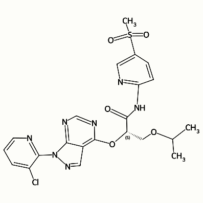 CC(C)OC[C@H](Oc1ncnc2c1cnn2-c1ncccc1Cl)C(=O)Nc1ccc(S(C)(=O)=O)cn1